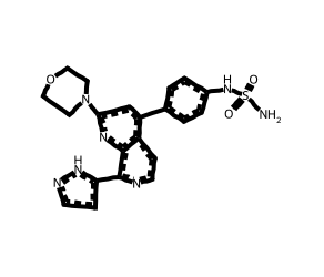 NS(=O)(=O)Nc1ccc(-c2cc(N3CCOCC3)nc3c(-c4ccn[nH]4)nccc23)cc1